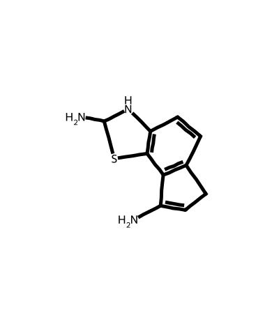 NC1=CCc2ccc3c(c21)SC(N)N3